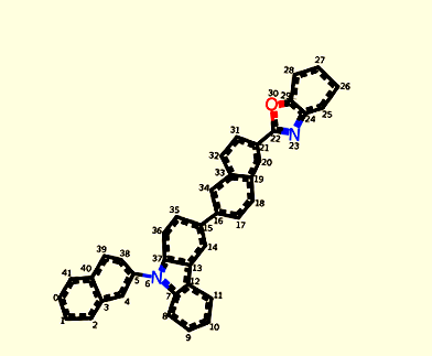 c1ccc2cc(-n3c4ccccc4c4cc(-c5ccc6cc(-c7nc8ccccc8o7)ccc6c5)ccc43)ccc2c1